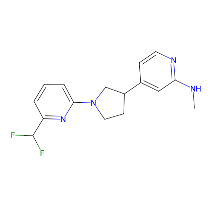 CNc1cc(C2CCN(c3cccc(C(F)F)n3)C2)ccn1